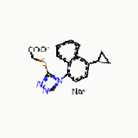 O=C([O-])CSc1nncn1-c1ccc(C2CC2)c2ccccc12.[Na+]